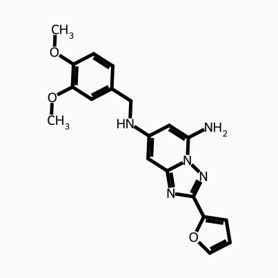 COc1ccc(CNc2cc(N)n3nc(-c4ccco4)nc3c2)cc1OC